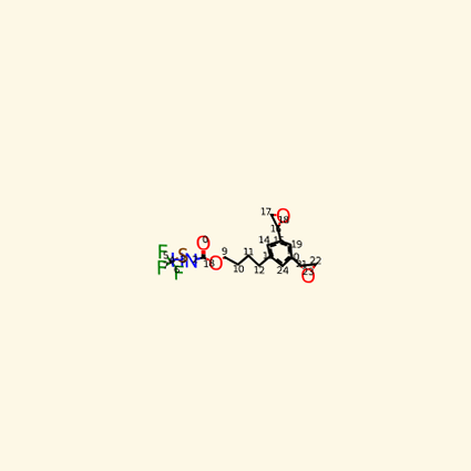 O=C(NSC(F)(F)F)OCCCCc1cc(C2CO2)cc(C2CO2)c1